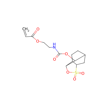 C=CC(=O)OCCNC(=O)OC1C2CCC3C1OS(=O)(=O)C3C2